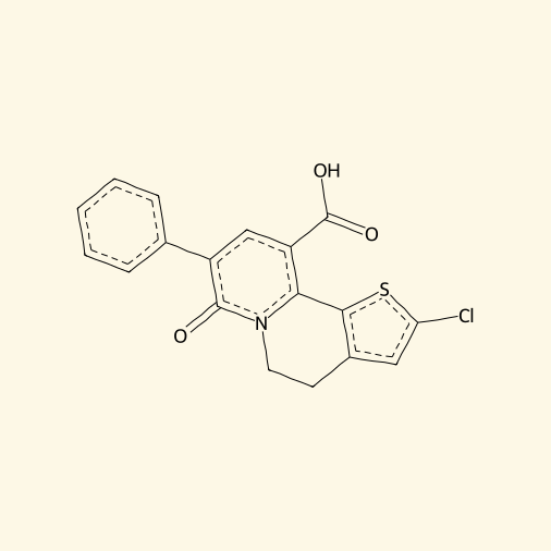 O=C(O)c1cc(-c2ccccc2)c(=O)n2c1-c1sc(Cl)cc1CC2